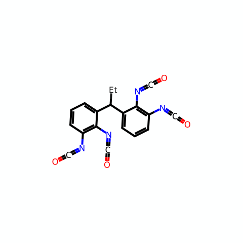 CCC(c1cccc(N=C=O)c1N=C=O)c1cccc(N=C=O)c1N=C=O